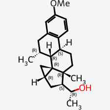 COc1ccc2c(c1)C[C@@H](C)[C@@H]1[C@@H]2CC[C@]2(C)[C@@H]([C@@H](C)O)C[C@@H]3C[C@@]312